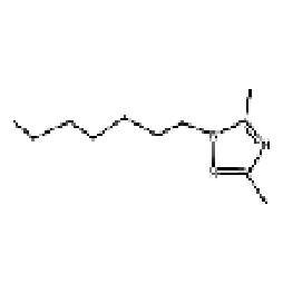 CCCCCCCn1nc(C)nc1C